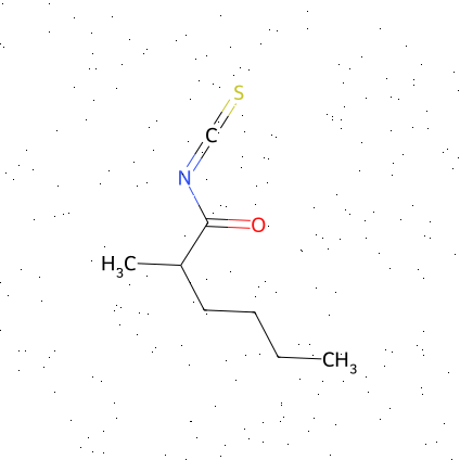 CCCCC(C)C(=O)N=C=S